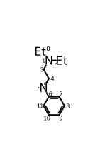 CCN(CC)CC[N]c1ccccc1